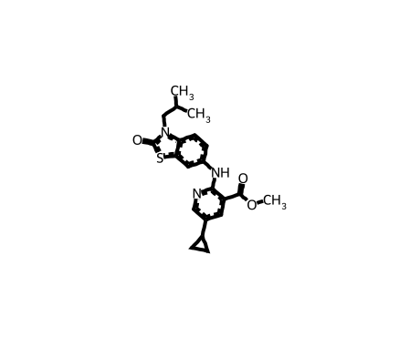 COC(=O)c1cc(C2CC2)cnc1Nc1ccc2c(c1)sc(=O)n2CC(C)C